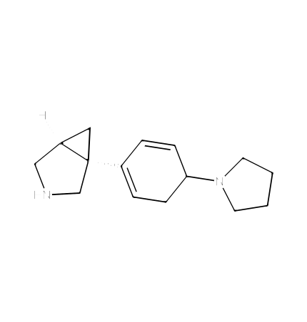 C1=CC(N2CCCC2)CC=C1[C@]12CNC[C@H]1C2